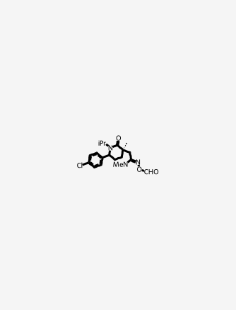 CN/C(C[C@@]1(C)CCC(c2ccc(Cl)cc2)N(C(C)C)C1=O)=N\OC=O